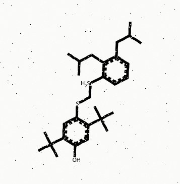 CC(C)Cc1cccc([SiH2]CSc2cc(C(C)(C)C)c(O)cc2C(C)(C)C)c1CC(C)C